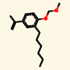 C=C(C)c1ccc(OCOC)c(CCCCCC)c1